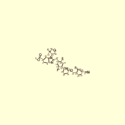 COC(=O)c1ccc2nc(Cc3cc(F)c(-c4cccc(OCc5ccc(C#N)cc5F)n4)cc3F)n([C@@H]3COCC3(C)C)c2c1